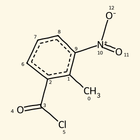 Cc1c(C(=O)Cl)cccc1[N+](=O)[O-]